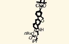 CC(C)CN(Cc1nc2ccc3cc4c(cc3c2[nH]1)OCc1cc(B2OC(C)(C)C(C)(C)O2)ccc1-4)C(=O)OC(C)(C)C